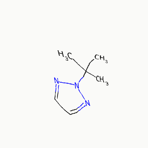 CC(C)(C)n1nccn1